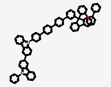 c1ccc(-c2ccccc2-c2ccccc2C2(c3cccc(-c4ccc(-c5ccc(-c6ccc(-n7c8ccccc8c8cc(-c9ccc%10c(c9)c9ccccc9n%10-c9ccccc9)ccc87)cc6)cc5)cc4)c3)c3ccccc3-c3ccccc32)cc1